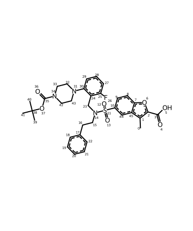 Cc1c(C(=O)O)oc2ccc(S(=O)(=O)N(CCc3ccccc3)Cc3c(F)cccc3N3CCN(C(=O)OC(C)(C)C)CC3)cc12